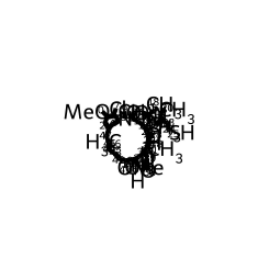 COc1cc2cc(c1Cl)N(C)C(=O)C[C@@H](OC(=O)[C@@H](C)N(C)C(=O)CCS)[C@@]1(C)O[C@@H]1[C@@H](C)[C@H]1C[C@](O)(NC(=O)O1)[C@@H](OC)/C=C/C=C(\C)C2